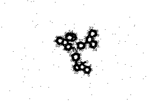 CC1(C)c2ccccc2-c2cccc(-c3ccc(N(c4ccc(-c5cc6ccccc6c6ccccc56)cc4)c4ccc5c(c4)C4(c6ccccc6-5)C5CC6CC(C5)CC4C6)cc3)c21